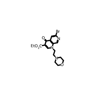 CCOC(=O)c1cn(CCN2CCOCC2)c2cnc(Br)cc2c1=O